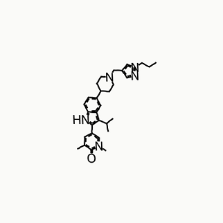 CCCn1cc(CN2CCC(c3ccc4[nH]c(-c5cc(C)c(=O)n(C)c5)c(C(C)C)c4c3)CC2)cn1